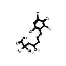 CC(CCCc1c(Cl)cc(Cl)c(Cl)c1Cl)CC(C)(N)C(=O)O